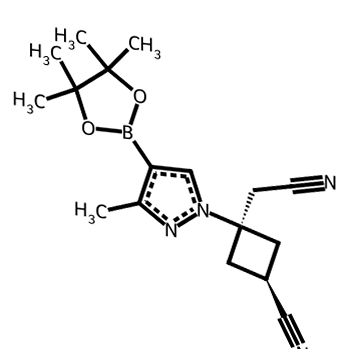 Cc1nn([C@]2(CC#N)C[C@H](C#N)C2)cc1B1OC(C)(C)C(C)(C)O1